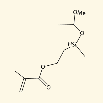 C=C(C)C(=O)OCC[SiH](C)OC(C)OC